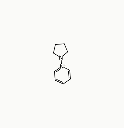 c1cc[n+](N2CCCC2)cc1